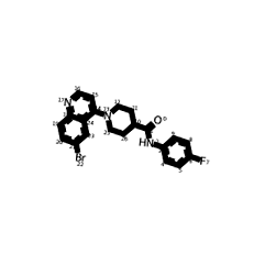 O=C(Nc1ccc(F)cc1)C1CCN(c2ccnc3ccc(Br)cc23)CC1